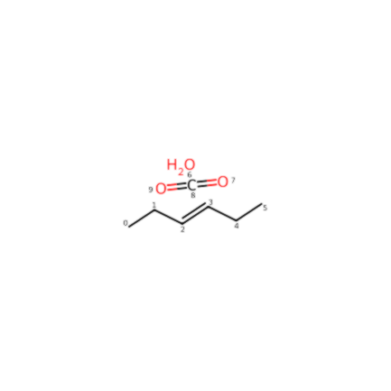 CCC=CCC.O.O=C=O